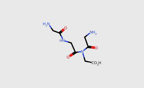 NCC(=O)NCC(=O)N(CC(=O)O)C(=O)CN